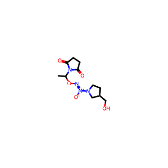 CC(ON=[N+]([O-])N1CCC(CO)C1)N1C(=O)CCC1=O